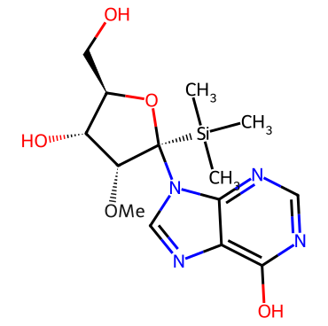 CO[C@@H]1[C@H](O)[C@@H](CO)O[C@]1(n1cnc2c(O)ncnc21)[Si](C)(C)C